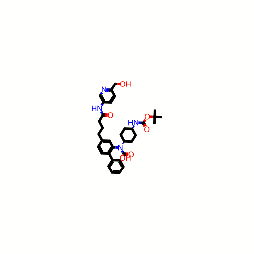 CC(C)(C)OC(=O)N[C@H]1CC[C@H](N(C(=O)O)c2cc(CCCC(=O)Nc3ccc(CO)nc3)ccc2-c2ccccc2)CC1